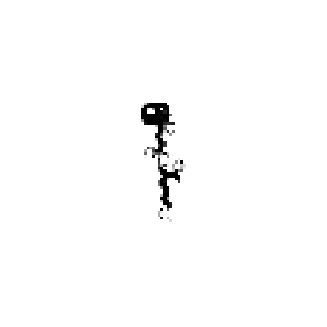 COCCCCC(COC(=O)CCC(=O)C12CC3CC(CC(C3)C1)C2)C(C)=O